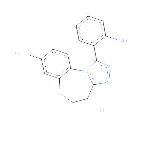 COc1ccc2c(c1)NC[C@@H](C)c1nnc(-c3ccccc3N)n1-2